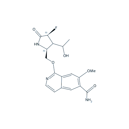 COc1cc2c(OC[C@H]3NC(=O)[C@@H](F)C3C(C)O)nccc2cc1C(N)=O